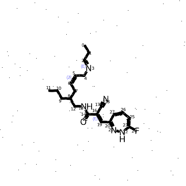 CC/C=N/C/C=C\CC(CCC)CNC(=O)/C(C#N)=C/C1=NNC(F)=CC=C1